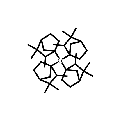 CC1C(C)(C)C2CC[C]1([Cr]([C]13CCC(C1)C(C)(C)C3C)([C]13CCC(C1)C(C)(C)C3C)[C]13CCC(C1)C(C)(C)C3C)C2